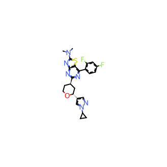 CN(C)c1nc2nc([C@@H]3CCO[C@@H](c4cnn(C5CC5)c4)C3)nc(-c3ccc(F)cc3F)c2s1